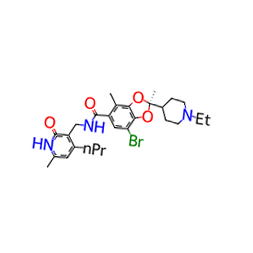 CCCc1cc(C)[nH]c(=O)c1CNC(=O)c1cc(Br)c2c(c1C)O[C@@](C)(C1CCN(CC)CC1)O2